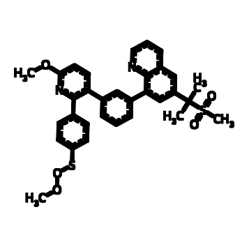 COOSc1ccc(-c2nc(OC)ccc2-c2cccc(-c3cc(C(C)(C)S(C)(=O)=O)cc4cccnc34)c2)cc1